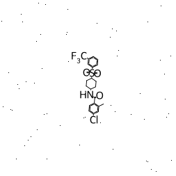 Cc1cc(Cl)ccc1C(=O)N[C@H]1CC[C@H](S(=O)(=O)c2cccc(C(F)(F)F)c2)CC1